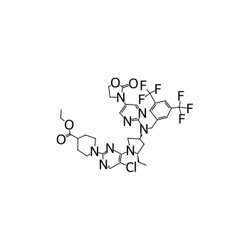 CCOC(=O)C1CCN(c2ncc(Cl)c(N3C[C@@H](N(Cc4cc(C(F)(F)F)cc(C(F)(F)F)c4)c4ncc(N5CCOC5=O)cn4)C[C@H]3CC)n2)CC1